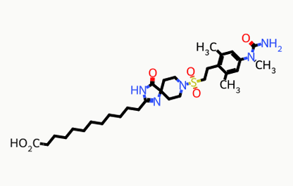 Cc1cc(N(C)C(N)=O)cc(C)c1CCS(=O)(=O)N1CCC2(CC1)N=C(CCCCCCCCCCCC(=O)O)NC2=O